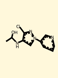 CC(O)Nc1cn(-c2cccnc2)nc1Cl